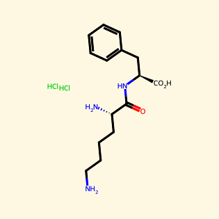 Cl.Cl.NCCCC[C@H](N)C(=O)N[C@@H](Cc1ccccc1)C(=O)O